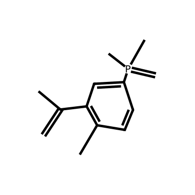 C=C(C)c1cc(P(=C)(C)C)ccc1C